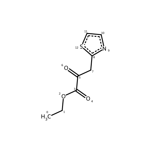 CCOC(=O)C(=O)Cc1nccs1